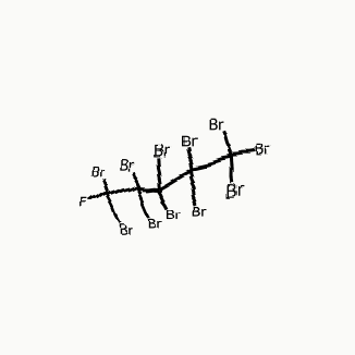 FC(Br)(Br)C(Br)(Br)C(Br)(Br)C(Br)(Br)C(Br)(Br)Br